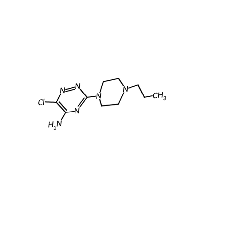 CCCN1CCN(c2nnc(Cl)c(N)n2)CC1